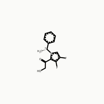 C[C@H](c1ccccc1)n1cc(F)c(F)c1C(=O)CO